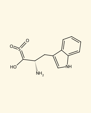 N[C@@H](Cc1c[nH]c2ccccc12)C(O)=S(=O)=O